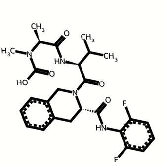 CC(C)[C@H](NC(=O)[C@H](C)N(C)C(=O)O)C(=O)N1Cc2ccccc2C[C@H]1C(=O)Nc1c(F)cccc1F